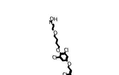 ON=CCOCCCCOc1c(Cl)cc(OCC=C(Cl)Cl)cc1Cl